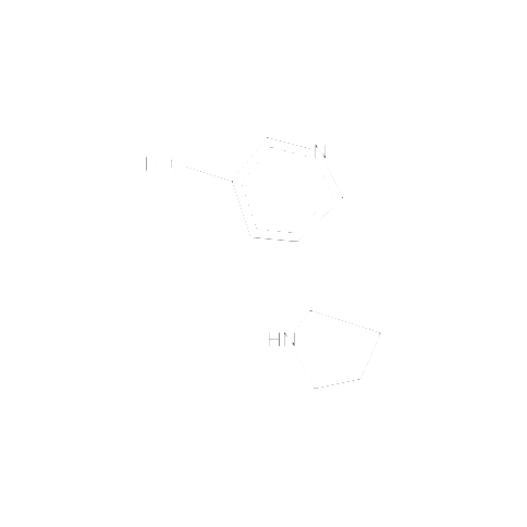 Cc1cncc([C@@H]2CCCN2)c1